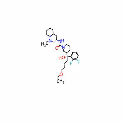 CCOCCCC[C@@](O)(c1cccc(F)c1F)[C@@H]1CCCN(C(=O)N[C@H](CNC)CC2CCCCC2)C1